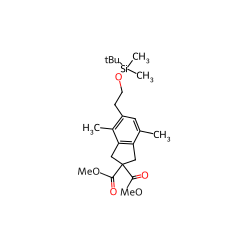 COC(=O)C1(C(=O)OC)Cc2c(C)cc(CCO[Si](C)(C)C(C)(C)C)c(C)c2C1